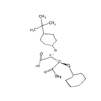 CC(C)(C)C1CCC(O[C@@H](C(=O)O)[C@@H](OC2CCCCC2)C(=O)O)CC1